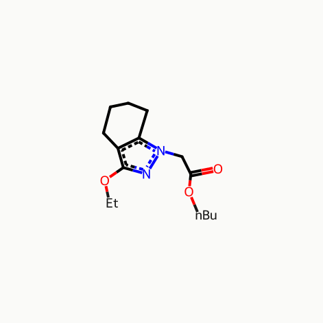 CCCCOC(=O)Cn1nc(OCC)c2c1CCCC2